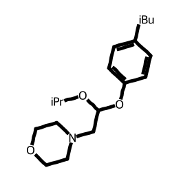 CCC(C)c1ccc(OC(CN2CCOCC2)OC(C)C)cc1